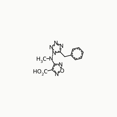 CN(c1nonc1C(=O)O)n1nnnc1Cc1ccccc1